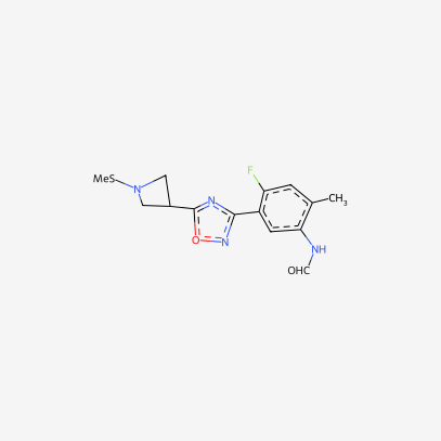 CSN1CC(c2nc(-c3cc(NC=O)c(C)cc3F)no2)C1